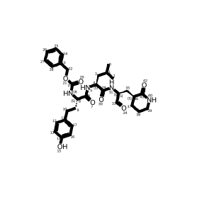 CC(C)C[C@H](NC(=O)[C@H](CCc1ccc(O)cc1)NC(=O)OCc1ccccc1)C(=O)N[C@H](C=O)C[C@@H]1CCCNC1=O